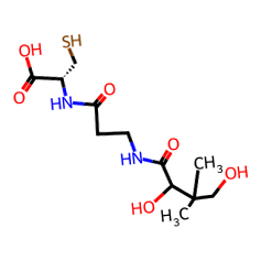 CC(C)(CO)C(O)C(=O)NCCC(=O)N[C@@H](CS)C(=O)O